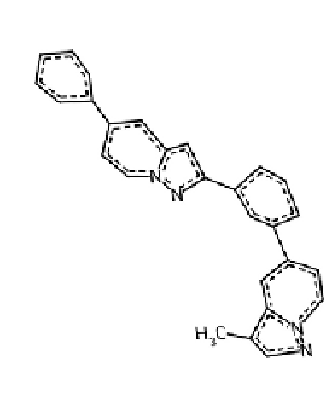 Cc1cnn2ccc(-c3cccc(-c4cc5cc(-c6ccccc6)ccn5n4)c3)cc12